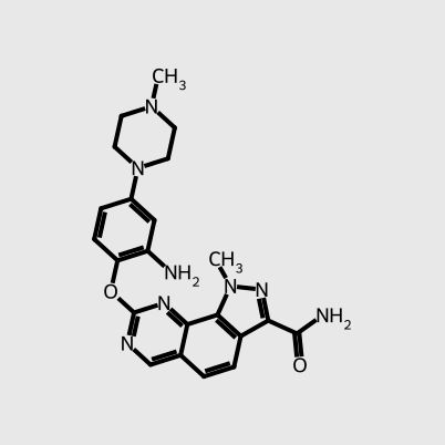 CN1CCN(c2ccc(Oc3ncc4ccc5c(C(N)=O)nn(C)c5c4n3)c(N)c2)CC1